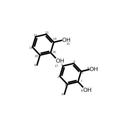 Cc1cccc(O)c1O.Cc1cccc(O)c1O